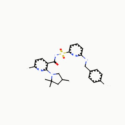 COc1ccc(CNc2cccc(S(=O)(=O)NC(=O)c3ccc(C(C)(C)C)nc3N3CC(C)CC3(C)C)n2)cc1